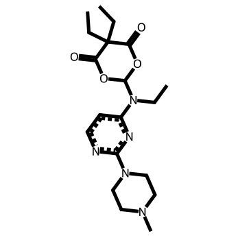 CCN(c1ccnc(N2CCN(C)CC2)n1)C1OC(=O)C(CC)(CC)C(=O)O1